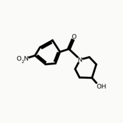 O=C(c1ccc([N+](=O)[O-])cc1)N1CCC(O)CC1